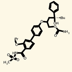 CC(C)Oc1cc(-c2ccc(OC(COC(N)=O)C[C@](O)(c3ccccc3)C(C)(C)C)cc2)ccc1C(=O)NS(C)(=O)=O